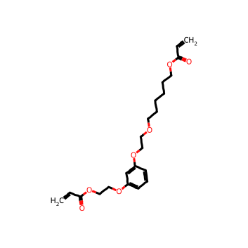 C=CC(=O)OCCCCCCOCCOc1cccc(OCCOC(=O)C=C)c1